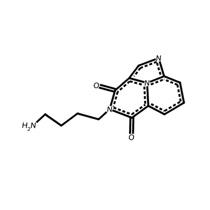 NCCCCn1c(=O)c2cccc3ncc(c1=O)n32